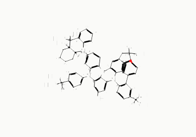 Cc1cc2c3c(c1)N(c1ccc(C(C)(C)C)cc1-c1ccccc1)c1cc4c(cc1B3c1ccc(N3c5ccccc5C(C)(C)C5(C)CCCCC35C)cc1N2c1ccc(C(C)(C)C)cc1)CC(C)(C)C4